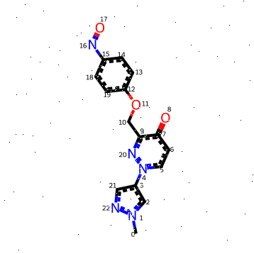 Cn1cc(-n2ccc(=O)c(COc3ccc(N=O)cc3)n2)cn1